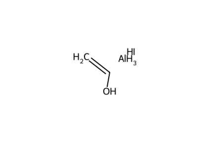 C=CO.I.[AlH3]